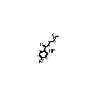 CN(C)CCCC(=O)c1ccc(Br)cc1.I